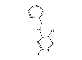 ClC1=NC(NCc2ccccc2)C(Cl)N=N1